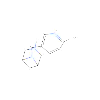 CCN1CC2CC(C1)N2Cc1ccc(OC)nc1